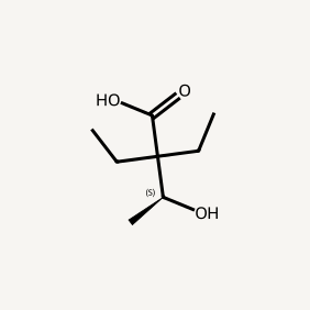 CCC(CC)(C(=O)O)[C@H](C)O